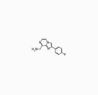 NCc1nccn2cc(-c3ccc(F)cc3)nc12